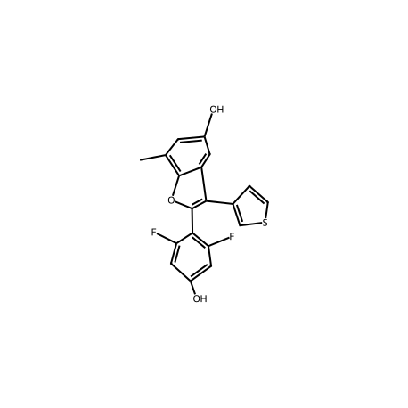 Cc1cc(O)cc2c(-c3ccsc3)c(-c3c(F)cc(O)cc3F)oc12